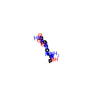 Nc1nnc(-c2ccccc2O)cc1-c1cnn([C@H]2CC[C@H](N3CCN(c4cccc5c4OCCN5C4CCC(=O)NC4=O)CC3)CC2)c1